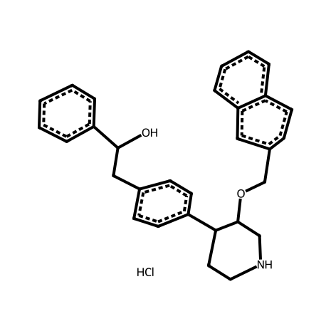 Cl.OC(Cc1ccc(C2CCNCC2OCc2ccc3ccccc3c2)cc1)c1ccccc1